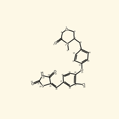 CN1C(=O)COCC1Cc1ccc(Oc2ccc(C=C3SC(=O)NC3=O)cc2Cl)cc1